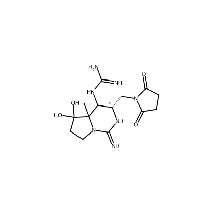 CC12C(NC(=N)N)[C@H](CN3C(=O)CCC3=O)NC(=N)N1CCC2(O)O